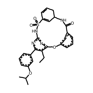 CCc1c2nc(nc1-c1cccc(OC(C)C)c1)NS(=O)(=O)C1=CC(CC=C1)NC(=O)c1cccc(c1)O2